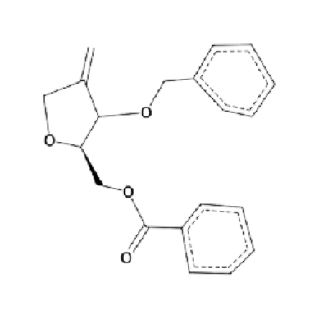 C=C1CO[C@H](COC(=O)c2ccccc2)C1OCc1ccccc1